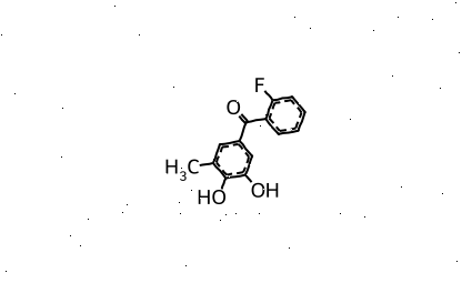 Cc1cc(C(=O)c2ccccc2F)cc(O)c1O